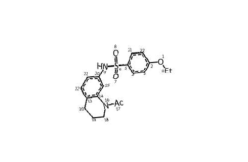 CCOc1ccc(S(=O)(=O)Nc2ccc3c(c2)N(C(C)=O)CCC3)cc1